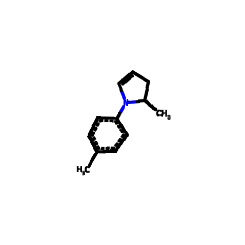 Cc1ccc(N2C=CCC2C)cc1